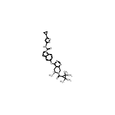 C[C@H]1Cc2c(ncnc2Oc2ccc3c(ccn3C(=O)Nc3cc(C4CC4)on3)c2)CN1C(=O)C1C(C)(C)C1(C)C